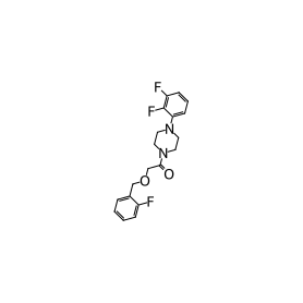 O=C(COCc1ccccc1F)N1CCN(c2cccc(F)c2F)CC1